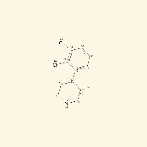 C[C@@H]1CNCCN1c1cccc(Cl)c1Cl